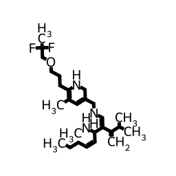 C=C(/C(=C/NCC1=CC(C)=C(CCCOCC(C)(F)F)NC1)C(/C=C\CCC)NC)C(C)C